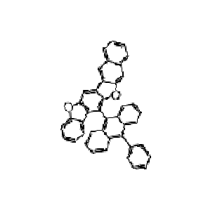 c1ccc(-c2c3ccccc3c(-c3c4oc5cc6ccccc6cc5c4cc4oc5ccccc5c34)c3ccccc23)cc1